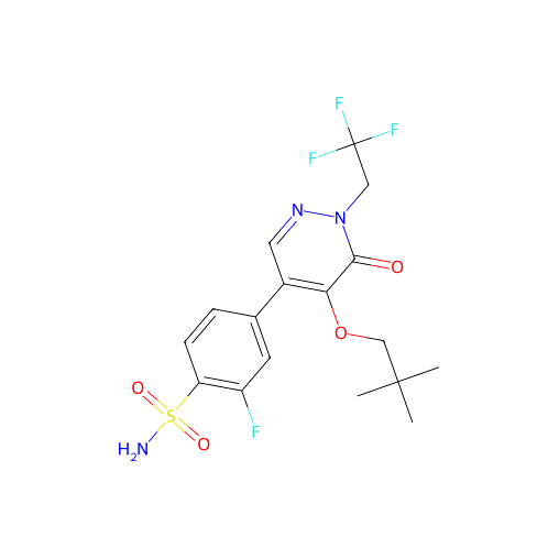 CC(C)(C)COc1c(-c2ccc(S(N)(=O)=O)c(F)c2)cnn(CC(F)(F)F)c1=O